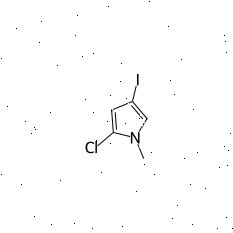 Cn1cc(I)cc1Cl